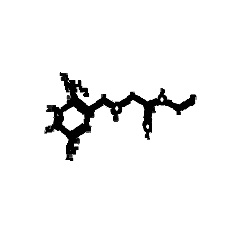 CCOC(=O)COCc1cc(Br)cnc1N